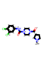 CC(C)N1CC[C@@H](C(=O)N2CCN(C(=O)Nc3ccc(Cl)c(Cl)c3)CC2)C1